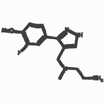 COc1ccc(-c2n[nH]cc2CN(C)CCN)cc1F